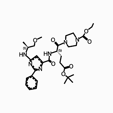 CCOC(=O)N1CCN(C(=O)[C@H](CCC(=O)OC(C)(C)C)NC(=O)c2cc(N[C@@H](C)COC)nc(-c3ccccc3)n2)CC1